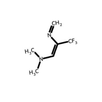 C=N/C(=C\N(C)C)C(F)(F)F